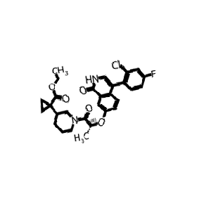 CCOC(=O)C1(C2CCCN(C(=O)[C@@H](C)Oc3ccc4c(-c5ccc(F)cc5Cl)c[nH]c(=O)c4c3)C2)CC1